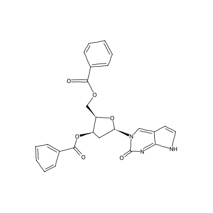 O=C(OC[C@H]1O[C@@H](n2cc3cc[nH]c3nc2=O)C[C@H]1OC(=O)c1ccccc1)c1ccccc1